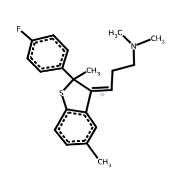 Cc1ccc2c(c1)/C(=C/CCN(C)C)C(C)(c1ccc(F)cc1)S2